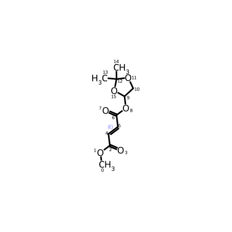 COC(=O)/C=C/C(=O)OC1COC(C)(C)O1